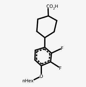 CCCCCCOc1ccc(C2CCC(C(=O)O)CC2)c(F)c1F